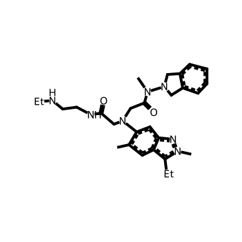 CCNCCNC(=O)CN(CC(=O)N(C)N1Cc2ccccc2C1)c1cc2nn(C)c(CC)c2cc1C